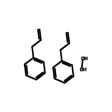 C=CCc1ccccc1.C=CCc1ccccc1.OO